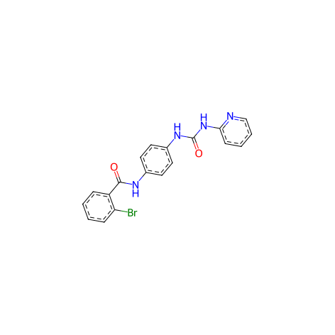 O=C(Nc1ccc(NC(=O)c2ccccc2Br)cc1)Nc1ccccn1